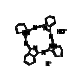 [K+].[OH-].c1ccc2c(c1)-c1nc-2nc2[nH]c(nc3nc(nc4[nH]c(n1)c1ccccc41)-c1ccccc1-3)c1ccccc21